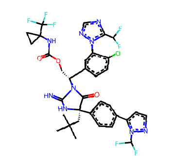 CC(C)(C)C[C@]1(c2ccc(-c3ccnn3C(F)F)cc2)NC(=N)N([C@H](COC(=O)NC2(C(F)(F)F)CC2)c2ccc(Cl)c(-n3ncnc3C(F)F)c2)C1=O